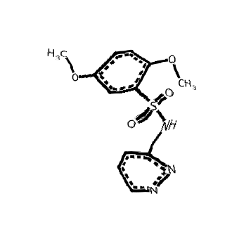 COc1ccc(OC)c(S(=O)(=O)Nc2cccnn2)c1